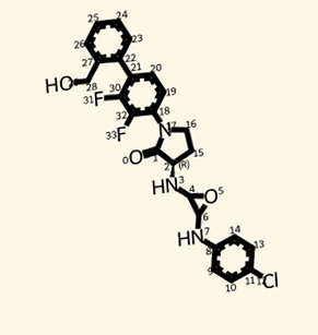 O=C1[C@H](NC2OC2Nc2ccc(Cl)cc2)CCN1c1ccc(-c2ccccc2CO)c(F)c1F